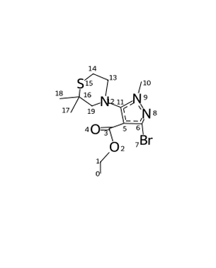 CCOC(=O)c1c(Br)nn(C)c1N1CCSC(C)(C)C1